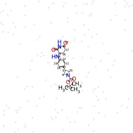 CC(C)(C)OC(=O)N1CC(c2ccc(NC3CCC(=O)NC3=O)cc2)C1